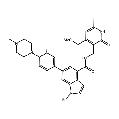 COCc1cc(C)[nH]c(=O)c1CNC(=O)c1cc(C2=CNC(N3CCN(C)CC3)C=C2)cc2c1ccn2C(C)C